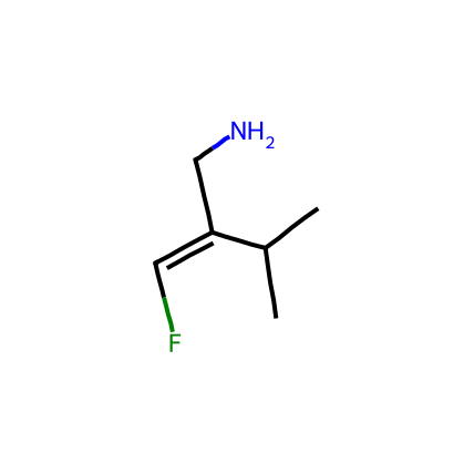 CC(C)/C(=C\F)CN